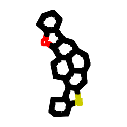 c1ccc2c(c1)oc1c2cc2ccc3cc4sc5ccccc5c4c4ccc1c2c34